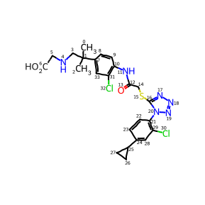 CC(C)(CNCC(=O)O)c1ccc(NC(=O)CSc2nnnn2-c2ccc(C3CC3)cc2Cl)c(Cl)c1